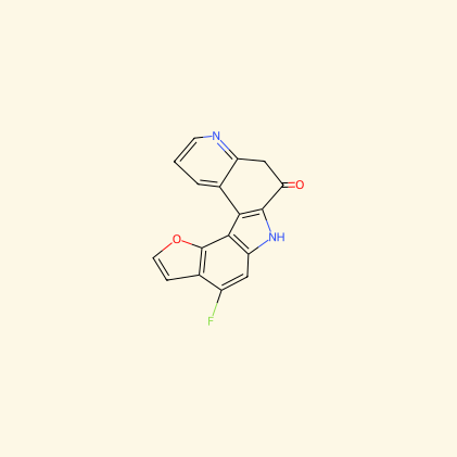 O=C1Cc2ncccc2-c2c1[nH]c1cc(F)c3ccoc3c21